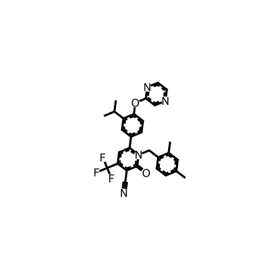 Cc1ccc(Cn2c(-c3ccc(Oc4cnccn4)c(C(C)C)c3)cc(C(F)(F)F)c(C#N)c2=O)c(C)c1